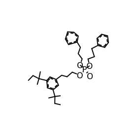 CCC(C)(C)c1cc(CCCOP(=O)(OCCCc2ccccc2)OCCCc2ccccc2)cc(C(C)(C)CC)c1